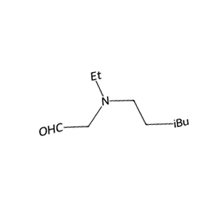 CCC(C)CCN(CC)CC=O